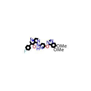 COc1cc2ncnc(Oc3ccc(Nc4nccc5c4c(=O)c(-c4ccc(F)cc4)cn5C)nc3)c2cc1OC